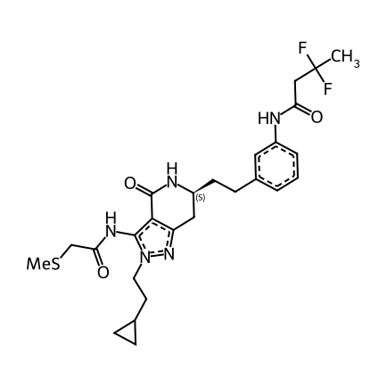 CSCC(=O)Nc1c2c(nn1CCC1CC1)C[C@H](CCc1cccc(NC(=O)CC(C)(F)F)c1)NC2=O